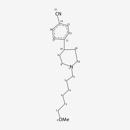 COCCCCCCN1CCC(c2ccc(C#N)cc2)CC1